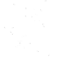 O=C(Cl)OCOC(=O)CCCOc1ccc(Cl)cc1Cl